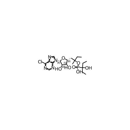 CCC(C)(C[C@H]1O[C@@H](n2cnc3c(Cl)ncnc32)[C@H](O)[C@@H]1O)OP(=O)(O)C(O)(CC)CC